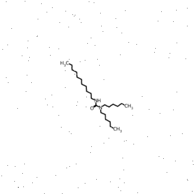 CCCCCCCCCCCNC(=O)N(CCCCCC)CCCCCC